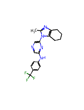 Cc1nc2c(n1-c1cncc(Nc3ccc(C(F)(F)F)cc3)n1)CCCC2